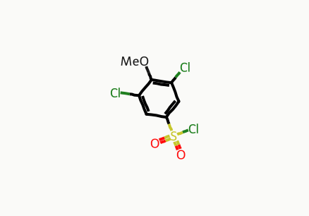 COc1c(Cl)cc(S(=O)(=O)Cl)cc1Cl